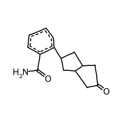 NC(=O)c1ccccc1C1CC2CC(=O)CC2C1